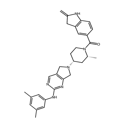 C=C1Cc2cc(C(=O)N3CC[C@@H](N4Cc5cnc(Nc6cc(C)cc(C)c6)nc5C4)C[C@H]3C)ccc2N1